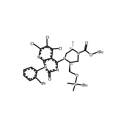 CC(C)c1ccccc1-n1c(=O)nc(N2C[C@H](C)N(C(=O)OC(C)(C)C)C[C@H]2CO[Si](C)(C)C(C)(C)C)c2c(Cl)c(Cl)c(Cl)nc21